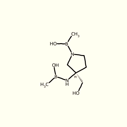 CB(O)N[C@]1(CO)CCN(B(C)O)C1